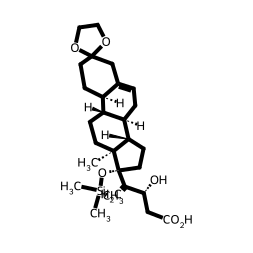 C=C([C@H](O)CC(=O)O)[C@]1(O[Si](C)(C)C)CC[C@H]2[C@@H]3CC=C4CC5(CC[C@@H]4[C@H]3CC[C@@]21C)OCCO5